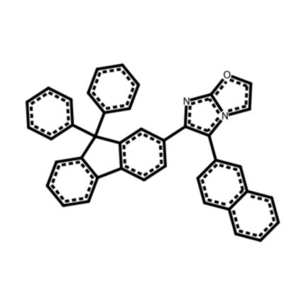 c1ccc(C2(c3ccccc3)c3ccccc3-c3ccc(-c4nc5occn5c4-c4ccc5ccccc5c4)cc32)cc1